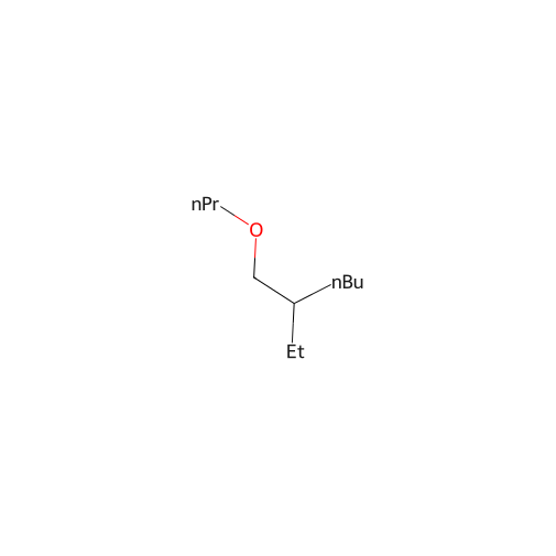 [CH]CCOCC(CC)CCCC